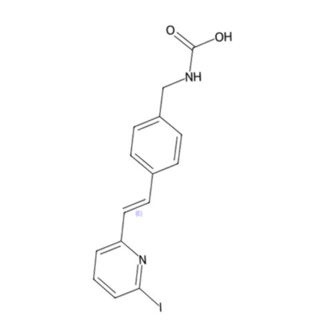 O=C(O)NCc1ccc(/C=C/c2cccc(I)n2)cc1